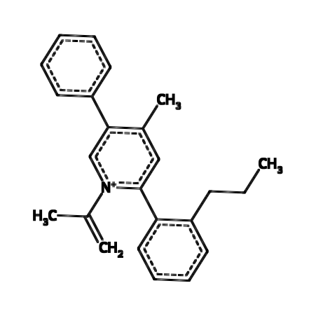 C=C(C)[n+]1cc(-c2ccccc2)c(C)cc1-c1ccccc1CCC